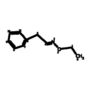 CCON=CCc1ccccc1